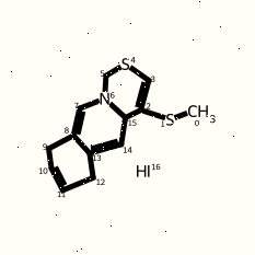 CSC1=CSCN2C=C3CC=CCC3=CC12.I